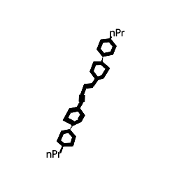 CCC[C@H]1CC[C@H](c2ccc(C#C/C=C/C3CCC([C@H]4CC[C@H](CCC)CC4)CC3)cc2)CC1